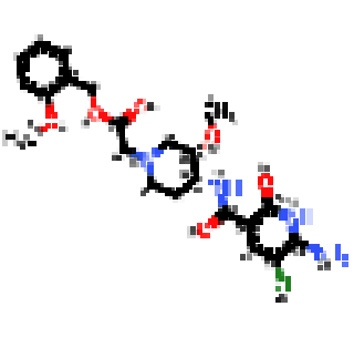 COc1ccccc1COC(=O)CN1CC[C@@H](NC(=O)c2cc(Cl)c(N)[nH]c2=O)[C@@H](OC)C1